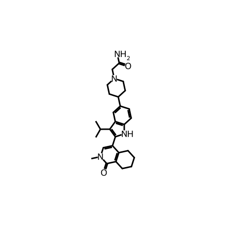 CC(C)c1c(-c2cn(C)c(=O)c3c2CCCC3)[nH]c2ccc(C3CCN(CC(N)=O)CC3)cc12